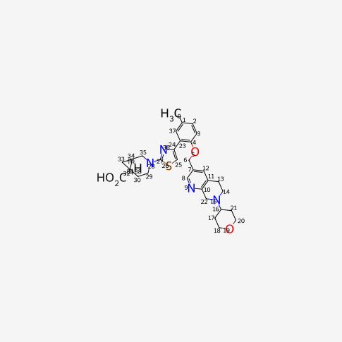 Cc1ccc(OCc2cnc3c(c2)CCN(C2CCOCC2)C3)c(-c2csc(N3CC[C@@]4(C(=O)O)C[C@H]4C3)n2)c1